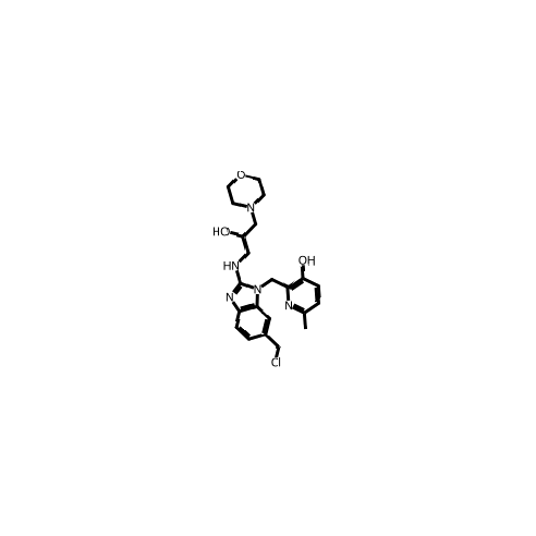 Cc1ccc(O)c(Cn2c(NCC(O)CN3CCOCC3)nc3ccc(CCl)cc32)n1